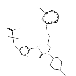 CC1CCC(N(CCCSc2cccc(Cl)c2)C(=O)Nc2ncc(SC(C)(C)C(=O)O)s2)CC1